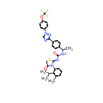 Cc1cccc(N2C(=O)CS/C2=N\C(=O)NC(C)c2ccc(-c3ncn(-c4ccc(OC(F)(F)F)cc4)n3)cc2)c1C(C)C